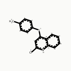 Cc1ccc(Sc2cc(Cl)nc3ccccc23)cc1